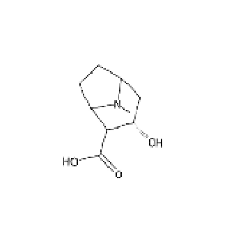 CN1C2CCC1C(C(=O)O)[C@@H](O)C2